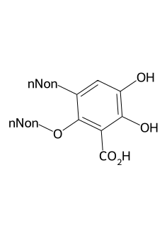 CCCCCCCCCOc1c(CCCCCCCCC)cc(O)c(O)c1C(=O)O